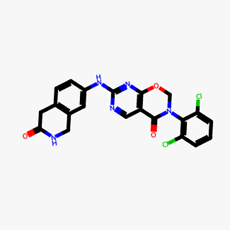 O=C1Cc2ccc(Nc3ncc4c(n3)OCN(c3c(Cl)cccc3Cl)C4=O)cc2CN1